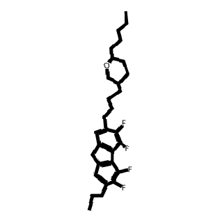 CCCCCC1CCC(CCCCc2cc3c(c(F)c2F)-c2c(cc(CCC)c(F)c2F)C3)CO1